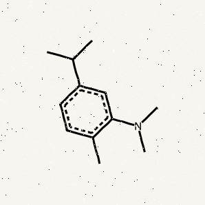 Cc1ccc(C(C)C)cc1N(C)C